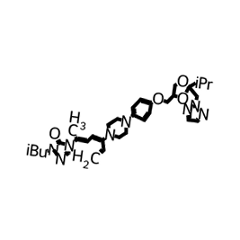 C=C/C(=C\C=C(/C)n1cnn(C(C)CC)c1=O)N1CCN(c2ccc(OCC3COC(Cn4nccn4)(C(C)C)O3)cc2)CC1